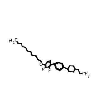 C=CCCCCCCCCCOc1ccc(-c2ccc(C3CCC(CCC)CC3)cc2)c(F)c1F